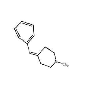 [CH2]N1CCC(=Cc2ccccc2)CC1